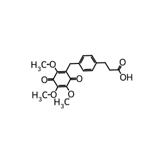 COC1=C(Cc2ccc(CCC(=O)O)cc2)C(=O)C(OC)=C(OC)C1=O